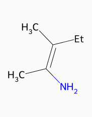 CCC(C)=C(C)N